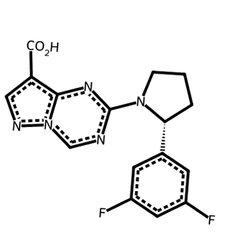 O=C(O)c1cnn2cnc(N3CCC[C@@H]3c3cc(F)cc(F)c3)nc12